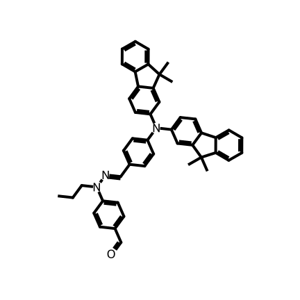 CCCN(N=Cc1ccc(N(c2ccc3c(c2)C(C)(C)c2ccccc2-3)c2ccc3c(c2)C(C)(C)c2ccccc2-3)cc1)c1ccc(C=O)cc1